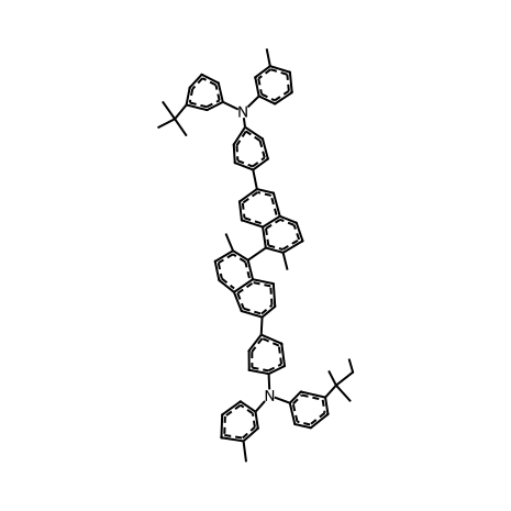 CCC(C)(C)c1cccc(N(c2ccc(-c3ccc4c(-c5c(C)ccc6cc(-c7ccc(N(c8cccc(C)c8)c8cccc(C(C)(C)C)c8)cc7)ccc56)c(C)ccc4c3)cc2)c2cccc(C)c2)c1